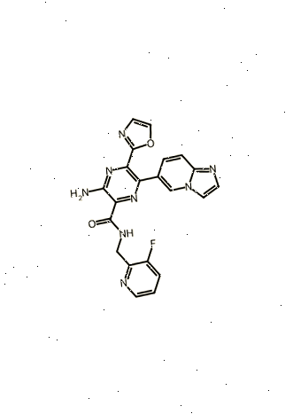 Nc1nc(-c2ncco2)c(-c2ccc3nccn3c2)nc1C(=O)NCc1ncccc1F